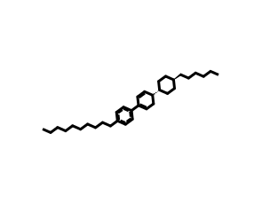 CCCCCCCCCCc1ccc(C2=CCC([C@H]3CC[C@H](CCCCCC)CC3)C=C2)cc1